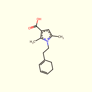 Cc1cc(C(=O)O)c(C)n1CCC1=CC=CCC1